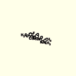 CCc1c(C(=O)N[C@@H]2COCc3c2cnn3-c2c(F)ccc(OC)c2Cl)ncn1C